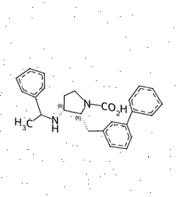 CC(N[C@@H]1CCN(C(=O)O)[C@@H]1Cc1cccc(-c2ccccc2)c1)c1ccccc1